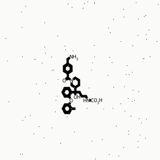 Cc1ccccc1Oc1ccccc1C(O)(CCCNC(=O)O)C1CCCN(C(=O)c2ccc(CN)cc2)C1